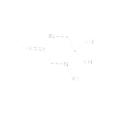 CC(C)N1CC(=O)NCC1(C)C